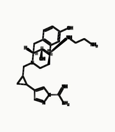 N=C(N)n1cc(C2CC2CN2CC[C@]34C[C@H](NCCN)CC[C@@]3(O)[C@H]2Cc2ccc(O)cc24)cn1